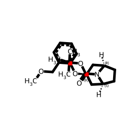 COCc1ccccc1O[C@H]1C[C@H]2CC[C@@H](C1)N2C(=O)OC(C)(C)C